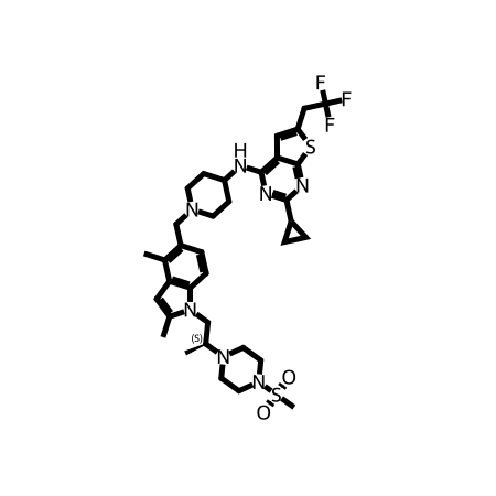 Cc1c(CN2CCC(Nc3nc(C4CC4)nc4sc(CC(F)(F)F)cc34)CC2)ccc2c1cc(C)n2C[C@H](C)N1CCN(S(C)(=O)=O)CC1